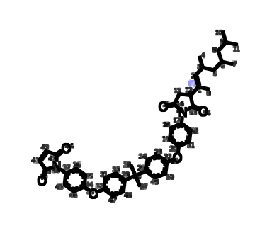 C/C(=C\C(C)CC(C)CC(C)C)C1CC(=O)N(c2ccc(Oc3ccc(C(C)(C)c4ccc(Oc5ccc(N6C(=O)C=CC6=O)cc5)cc4)cc3)cc2)C1=O